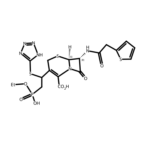 CCOP(=O)(O)CC(Sc1nnn[nH]1)C1=C(C(=O)O)N2C(=O)[C@@H](NC(=O)Cc3cccs3)[C@@H]2SC1